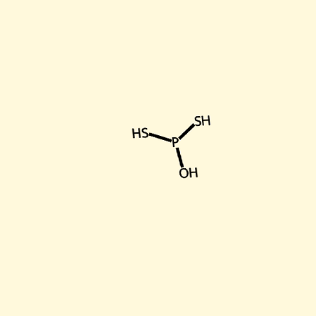 OP(S)S